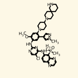 COc1cc(N2CCC(N3CCC4(CCCNC4)CC3)CC2)c(-c2cnn(C)c2)cc1Nc1ncc(Cl)c(Nc2ccc3nccnc3c2P(C)(C)=O)n1